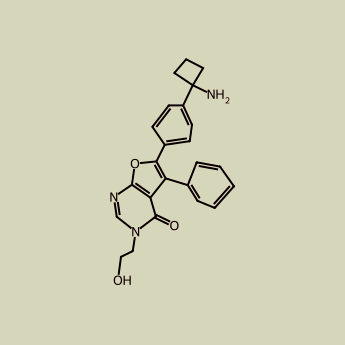 NC1(c2ccc(-c3oc4ncn(CCO)c(=O)c4c3-c3ccccc3)cc2)CCC1